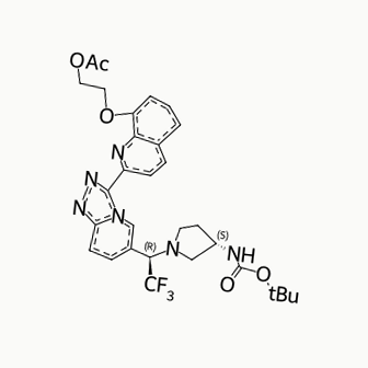 CC(=O)OCCOc1cccc2ccc(-c3nnc4ccc([C@@H](N5CC[C@H](NC(=O)OC(C)(C)C)C5)C(F)(F)F)cn34)nc12